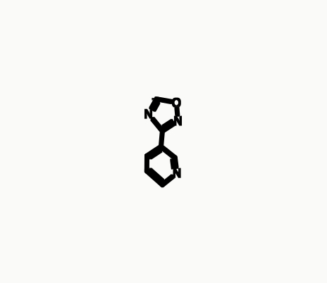 [c]1nc(-c2cccnc2)no1